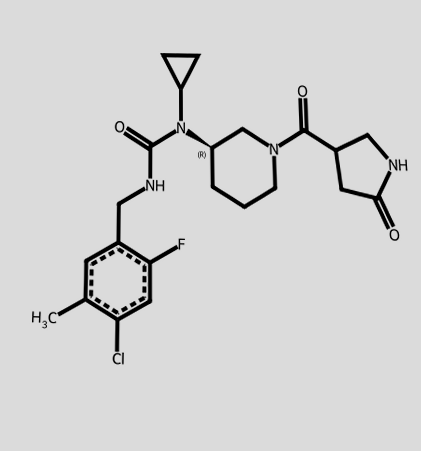 Cc1cc(CNC(=O)N(C2CC2)[C@@H]2CCCN(C(=O)C3CNC(=O)C3)C2)c(F)cc1Cl